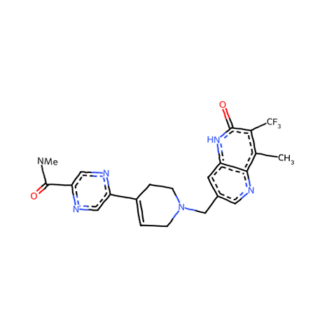 CNC(=O)c1cnc(C2=CCN(Cc3cnc4c(C)c(C(F)(F)F)c(=O)[nH]c4c3)CC2)cn1